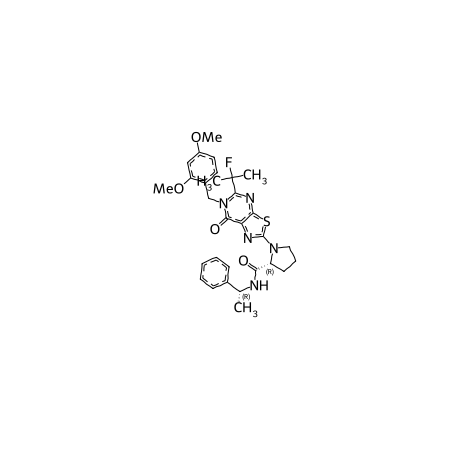 COc1ccc(Cn2c(C(C)(C)F)nc3sc(N4CCC[C@@H]4C(=O)N[C@H](C)c4ccccc4)nc3c2=O)c(OC)c1